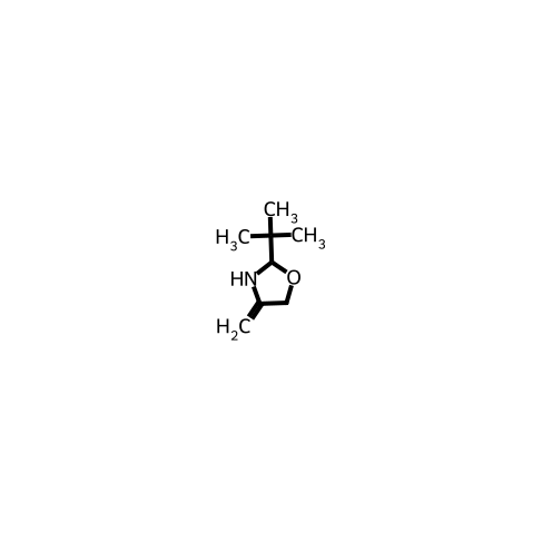 C=C1COC(C(C)(C)C)N1